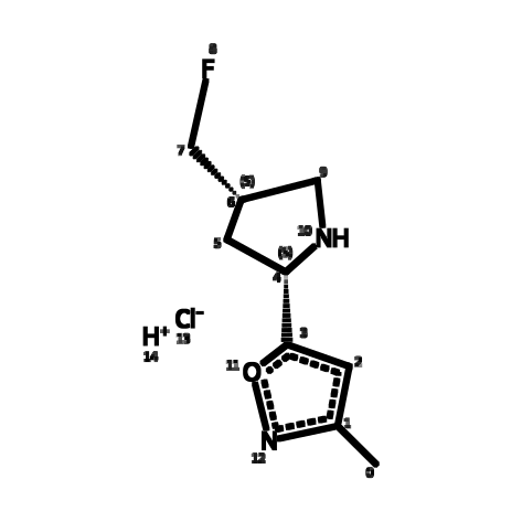 Cc1cc([C@@H]2C[C@H](CF)CN2)on1.[Cl-].[H+]